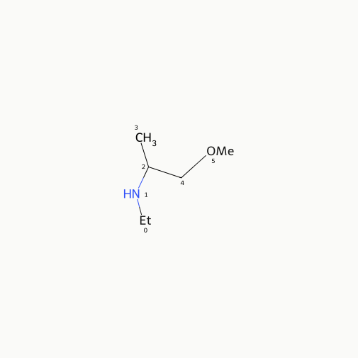 CCNC(C)COC